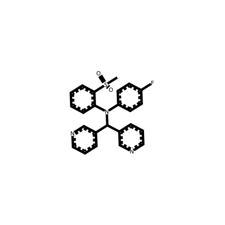 CS(=O)(=O)c1ccccc1N(c1ccc(F)cc1)C(c1cccnc1)c1cccnc1